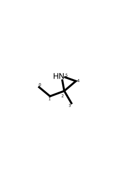 CCC1(C)CN1